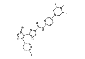 CC1CN(c2ccc(NC(=O)c3c[nH]c(-c4c(-c5ccc(F)cc5)ncn4C(C)C)n3)cc2)CC(C)N1C